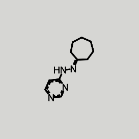 c1cc(NN=C2CCCCCC2)ncn1